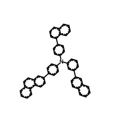 c1cc(-c2ccc3ccccc3c2)cc(N(c2ccc(-c3ccc4c(ccc5ccccc54)c3)cc2)c2ccc(-c3cccc4ccccc34)cc2)c1